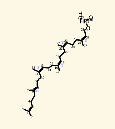 CC(C)=CCC/C(C)=C/CC/C(C)=C\CC/C(C)=C\CC/C(C)=C\CC/C(C)=C\CO[PH](=O)O